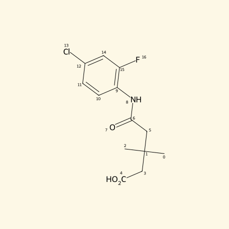 CC(C)(CC(=O)O)CC(=O)Nc1ccc(Cl)cc1F